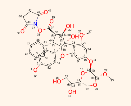 COc1ccc([C@@]23Oc4cc(O[C@@H]5O[C@@H]([C@H](O)CO)CO[C@H]5OC)cc(OC)c4[C@]2(O)[C@H](O)[C@H](C(=O)ON2C(=O)CCC2=O)[C@H]3c2ccccc2)cc1